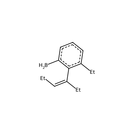 Bc1cccc(CC)c1/C(=C\CC)CC